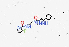 O=C(NCCCNC(=O)c1ncccc1F)c1cc(-c2ccccc2)[nH]n1